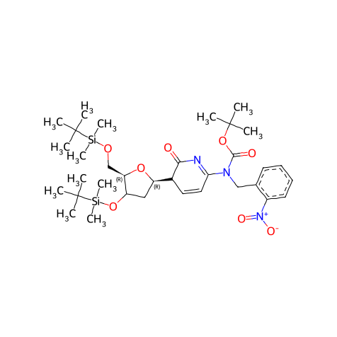 CC(C)(C)OC(=O)N(Cc1ccccc1[N+](=O)[O-])C1=NC(=O)C([C@H]2CC(O[Si](C)(C)C(C)(C)C)[C@@H](CO[Si](C)(C)C(C)(C)C)O2)C=C1